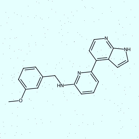 COc1cccc(CNc2cccc(-c3ccnc4[nH]ccc34)n2)c1